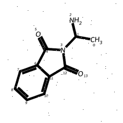 CC(N)N1C(=O)c2ccccc2C1=O